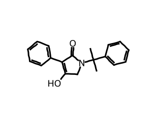 CC(C)(c1ccccc1)N1CC(O)=C(c2ccccc2)C1=O